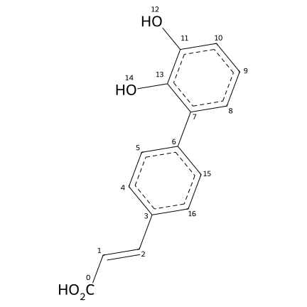 O=C(O)C=Cc1ccc(-c2cccc(O)c2O)cc1